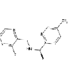 C[C@@H](NCc1ncccc1F)c1ccc(C(F)(F)F)cn1